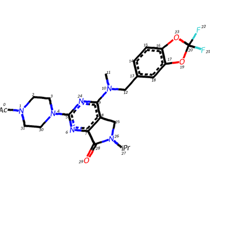 CC(=O)N1CCN(c2nc3c(c(N(C)Cc4ccc5c(c4)OC(F)(F)O5)n2)CN(C(C)C)C3=O)CC1